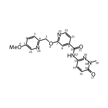 COc1ccc(COc2cc(C(=O)Nc3ccc(=O)n(C)n3)ccn2)nc1